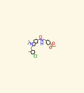 CCS(=O)(=O)c1ccc(CNC(=O)c2ccc3c(c2)cc(Cc2ccc(Cl)cc2C)n3C(C)C)cc1